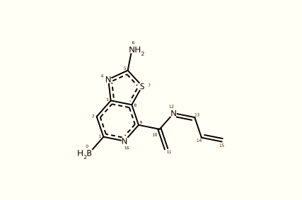 Bc1cc2nc(N)sc2c(C(=C)/N=C\C=C)n1